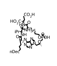 CCCCCCCCCCCCCCCC(=O)N[C@H](C(=O)N[C@@H](CSSCCOP(=O)(O)CO[C@H](C)Cn1cnc2c(N)ncnc21)C(=O)N[C@@H](CCC(=O)O)C(=O)O)C(C)C